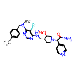 CCN(Cc1ccc(C(F)(F)F)cc1)c1ncnc(NC[C@H]2CCN([C@@H](C(N)=O)c3ccncc3)C[C@@H]2O)c1F